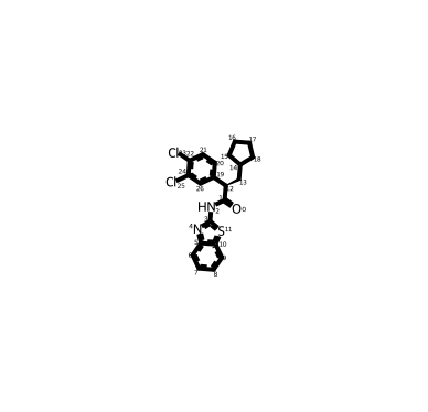 O=C(Nc1nc2ccccc2s1)[C@H](CC1CCCC1)c1ccc(Cl)c(Cl)c1